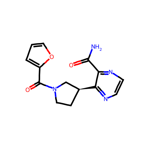 NC(=O)c1nccnc1[C@H]1CCN(C(=O)c2ccco2)C1